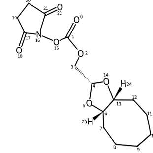 O=C(OC[C@H]1O[C@H]2CCCCCC[C@H]2O1)ON1C(=O)CCC1=O